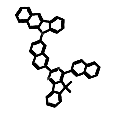 CC1(C)c2ccccc2-c2nc(-c3ccc4ccc(-n5c6ccccc6c6cc7ccccc7cc65)cc4c3)nc(-c3ccc4ccccc4c3)c21